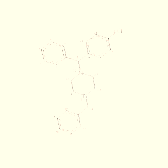 Clc1ccc(C(c2ccccc2)N2CCN(Cc3ccccc3)CC2)cc1